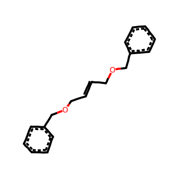 C(=C\COCc1ccccc1)/COCc1ccccc1